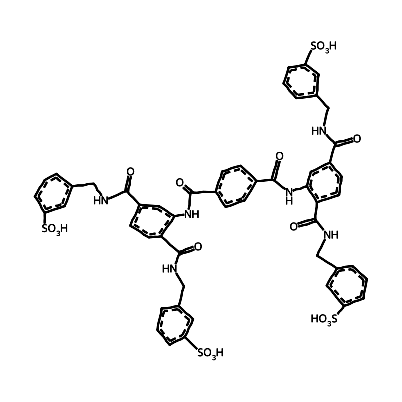 O=C(NCc1cccc(S(=O)(=O)O)c1)c1ccc(C(=O)NCc2cccc(S(=O)(=O)O)c2)c(NC(=O)c2ccc(C(=O)Nc3cc(C(=O)NCc4cccc(S(=O)(=O)O)c4)ccc3C(=O)NCc3cccc(S(=O)(=O)O)c3)cc2)c1